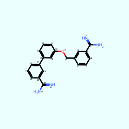 N=C(N)c1cccc(COc2cccc(-c3cccc(C(=N)N)c3)c2)c1